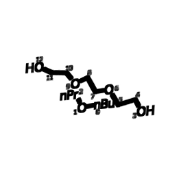 CCCCOCCC.OCCOCCOCCO